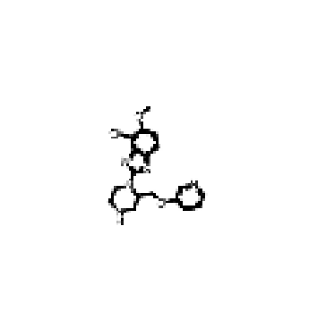 COc1ccc2sc(N3CCNCC3COc3cccnc3)nc2c1Cl